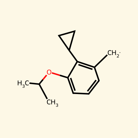 [CH2]c1cccc(OC(C)C)c1C1CC1